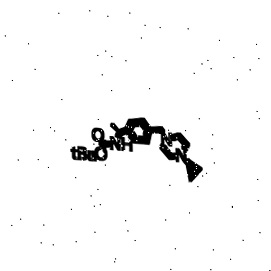 C[C@H](NC(=O)OC(C)(C)C)c1ccc(CN2CCN(C3CC3)CC2)cc1